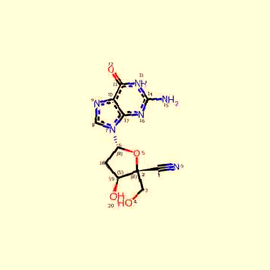 N#C[C@]1(CO)O[C@@H](n2cnc3c(=O)[nH]c(N)nc32)C[C@@H]1O